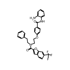 Nc1ccccc1NC(=O)c1ccc(OCCN(CCc2ccccc2)C(=O)c2cc3ccc(C(F)(F)F)cc3o2)cc1